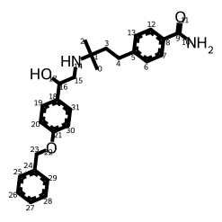 CC(C)(CCc1ccc(C(N)=O)cc1)NCC(O)c1ccc(OCc2ccccc2)cc1